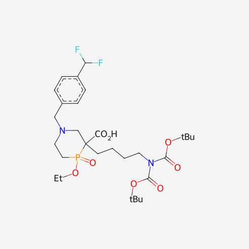 CCOP1(=O)CCN(Cc2ccc(C(F)F)cc2)CC1(CCCCN(C(=O)OC(C)(C)C)C(=O)OC(C)(C)C)C(=O)O